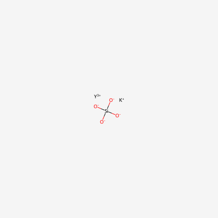 [K+].[O-][Si]([O-])([O-])[O-].[Y+3]